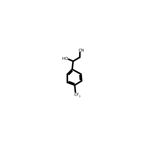 N#CCC(O)c1ccc(C(F)(F)F)cc1